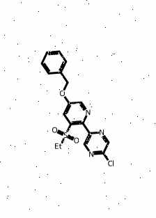 CCS(=O)(=O)c1cc(OCc2ccccc2)cnc1-c1cnc(Cl)cn1